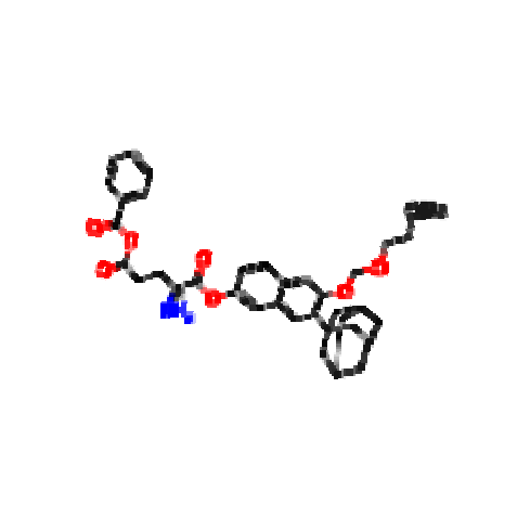 COCCOCOc1cc2ccc(OC(=O)[C@@H](N)CCC(=O)OC(=O)c3ccccc3)cc2cc1C12CC3CC(CC(C3)C1)C2